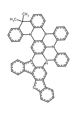 CC1(C)c2ccccc2N2c3cc4c5c6c3B(c3ccccc3N6c3ccccc3[SH]5c3cc5c6ccccc6sc5c5c6ccccc6n-4c35)c3cccc1c32